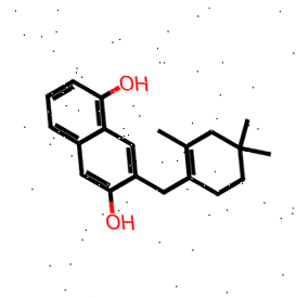 CC1=C(Cc2cc3c(O)cccc3cc2O)CCC(C)(C)C1